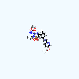 CN1C(NC(=O)OC(C)(C)C)=N[C@](C)(c2cc(/C=C(\F)c3ccc(OC(F)(F)F)cn3)ccc2F)CS1(=O)=O